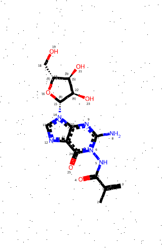 C=C(C)C(=O)Nn1c(N)nc2c(ncn2[C@@H]2O[C@H](CO)[C@@H](O)[C@H]2O)c1=O